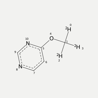 [2H]C([2H])([2H])Oc1ccncn1